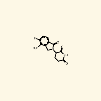 Bc1c(F)ccc2c1CN(C1CCC(=O)NC1=O)C2=O